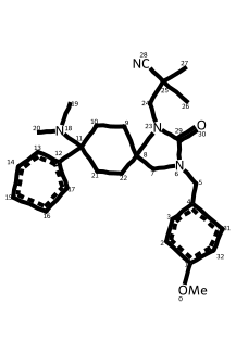 COc1ccc(CN2CC3(CCC(c4ccccc4)(N(C)C)CC3)N(CC(C)(C)C#N)C2=O)cc1